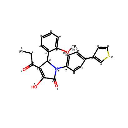 CC(C)CC(=O)C1=C(O)C(=O)N(c2ccc(-c3ccsc3)cc2)C1c1ccccc1OC(F)(F)F